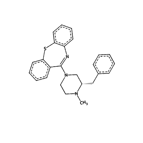 CN1CCN(C2=Nc3ccccc3Sc3ccccc32)C[C@@H]1Cc1ccccc1